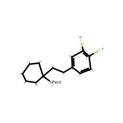 CCCCCC1(CCc2ccc(F)c(F)c2)CCCCC1